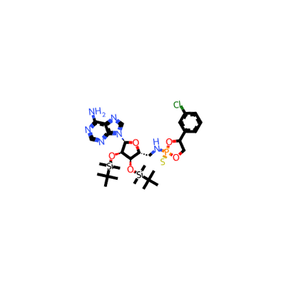 CC(C)(C)[Si](C)(C)O[C@@H]1[C@H](O[Si](C)(C)C(C)(C)C)[C@@H](CNP2(=S)OCC(c3cccc(Cl)c3)O2)O[C@H]1n1cnc2c(N)ncnc21